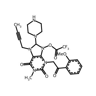 CC#CCN1c2c(n(CC(=O)c3ccccc3OC)c(=O)n(C)c2=O)N(OC(=O)C(F)(F)F)C1N1CCNCC1